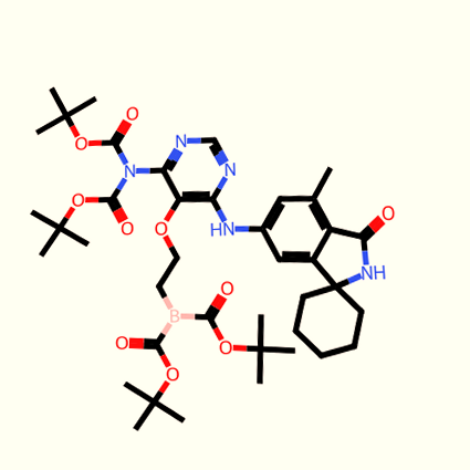 Cc1cc(Nc2ncnc(N(C(=O)OC(C)(C)C)C(=O)OC(C)(C)C)c2OCCB(C(=O)OC(C)(C)C)C(=O)OC(C)(C)C)cc2c1C(=O)NC21CCCCC1